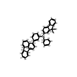 CC1(C)c2ccccc2-c2ccc(N(c3ccccc3)c3cccc(-c4ccc5c6c(cccc46)-c4ccccc4-5)c3)cc21